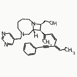 C=C(/C=C\C(C#Cc1ccccc1)=C/C)[C@@H]1[C@H](CO)N2CCCCN(Cc3cncnc3)C[C@@H]12